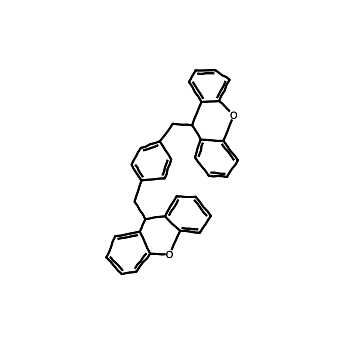 c1ccc2c(c1)Oc1ccccc1C2Cc1ccc(CC2c3ccccc3Oc3ccccc32)cc1